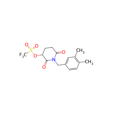 Cc1ccc(CN2C(=O)CCC(OS(=O)(=O)C(F)(F)F)C2=O)cc1C